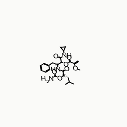 C=C(OC)C(=O)OC(C(=O)NC1CC1)[C@H](Cc1ccccc1)NC(=O)[C@H](CC(C)C)OC(N)=O